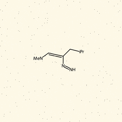 CN/C=C(/CC(C)C)N=N